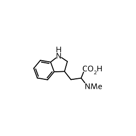 CNC(CC1CNc2ccccc21)C(=O)O